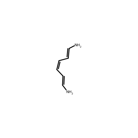 N/C=C/C=C\C=C\N